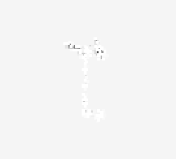 CCCCC(CC)CC(CCCCCCCCCCCCCCCC(=O)O)(CC(CC)CCCC)C(=O)O